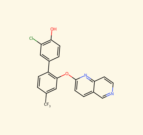 Oc1ccc(-c2ccc(C(F)(F)F)cc2Oc2ccc3cnccc3n2)cc1Cl